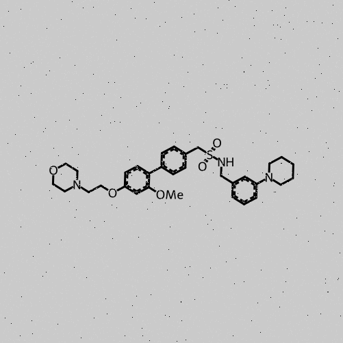 COc1cc(OCCN2CCOCC2)ccc1-c1ccc(CS(=O)(=O)NCc2cccc(N3CCCCC3)c2)cc1